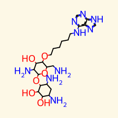 NCC1OC(OC2C(N)CC(N)C(O)C2O)C(N)C(O)C1OCCCCCCNc1ncnc2[nH]cnc12